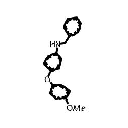 COc1ccc(Oc2ccc(NCc3ccccc3)cc2)cc1